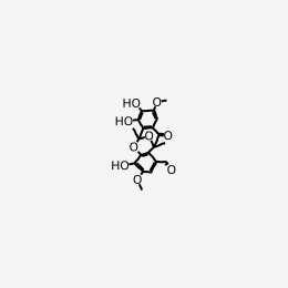 COc1cc2c(c(O)c1O)C1(C)Oc3c(O)c(OC)cc(C=O)c3C(C)(O1)C2=O